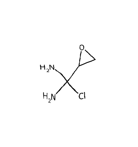 NC(N)(Cl)C1CO1